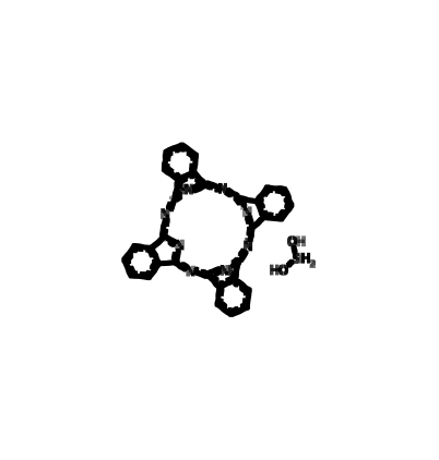 O[SiH2]O.c1ccc2c(c1)-c1nc-2nc2[nH]c(nc3nc(nc4[nH]c(n1)c1ccccc41)-c1ccccc1-3)c1ccccc21